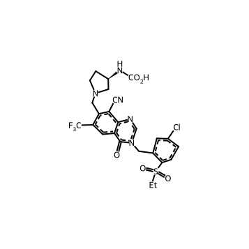 CCS(=O)(=O)c1ccc(Cl)cc1Cn1cnc2c(C#N)c(CN3CC[C@@H](NC(=O)O)C3)c(C(F)(F)F)cc2c1=O